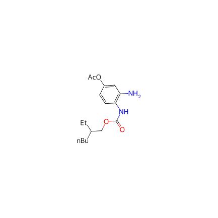 CCCCC(CC)COC(=O)Nc1ccc(OC(C)=O)cc1N